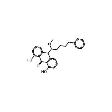 COC(CCCCc1ccccc1)C1c2cccc(O)c2C(=O)c2c(O)cccc21